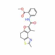 COC(=O)c1ccccc1NC(=O)c1oc2c(c1C)-c1nc(C)sc1CC2